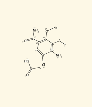 CC(=O)O.CCc1c(N)c(Cl)cc(C(N)=O)c1OC